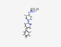 O=C(O)NCC1CCN(c2ccc(-c3ccc(F)cc3)cn2)CC1